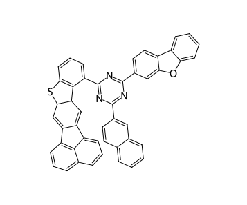 C1=C2C(=CC3c4c(cccc4-c4nc(-c5ccc6ccccc6c5)nc(-c5ccc6c(c5)oc5ccccc56)n4)SC13)c1cccc3cccc2c13